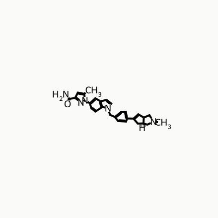 Cc1cc(C(N)=O)nn1-c1ccc2c(ccn2Cc2ccc(C3=CC4CN(C)C[C@H]4C3)cc2)c1